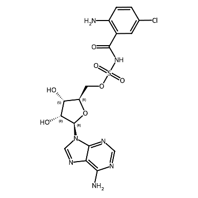 Nc1ccc(Cl)cc1C(=O)NS(=O)(=O)OC[C@H]1O[C@@H](n2cnc3c(N)ncnc32)[C@H](O)[C@@H]1O